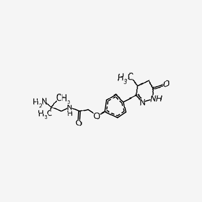 CC1CC(=O)NN=C1c1ccc(OCC(=O)NCC(C)(C)N)cc1